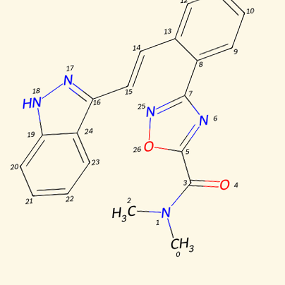 CN(C)C(=O)c1nc(-c2ccccc2/C=C/c2n[nH]c3ccccc23)no1